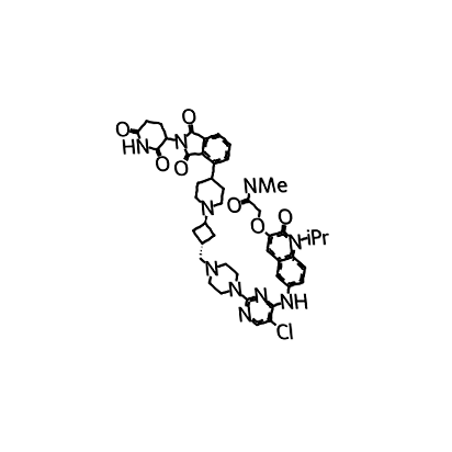 CNC(=O)COc1cc2cc(Nc3nc(N4CCN(C[C@H]5C[C@H](N6CCC(c7cccc8c7C(=O)N(C7CCC(=O)NC7=O)C8=O)CC6)C5)CC4)ncc3Cl)ccc2n(C(C)C)c1=O